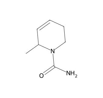 CC1C=CCCN1C(N)=O